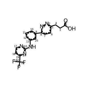 O=C(O)CCc1ccc(-c2cccc(Nc3nccc(C(F)(F)F)n3)c2)nn1